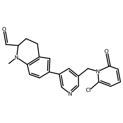 CN1c2ccc(-c3cncc(Cn4c(Cl)cccc4=O)c3)cc2CCC1C=O